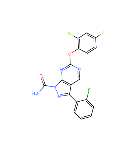 NC(=O)n1nc(-c2ccccc2Cl)c2[c]nc(Oc3ccc(F)cc3F)nc21